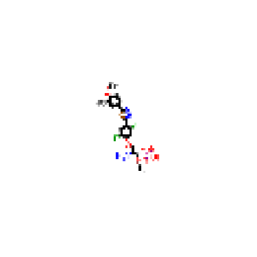 CC(C)Oc1ccc(-c2nnc(-c3cc(F)c(OC[C@H](N)[C@@H](C)OP(=O)(O)O)cc3Cl)s2)cc1C#N